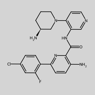 Nc1ccc(-c2ccc(Cl)cc2F)nc1C(=O)Nc1cnccc1N1CCC[C@H](N)C1